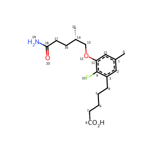 Cc1cc(CCCCC(=O)O)c(F)c(OC[C@@H](C)CCC(N)=O)c1